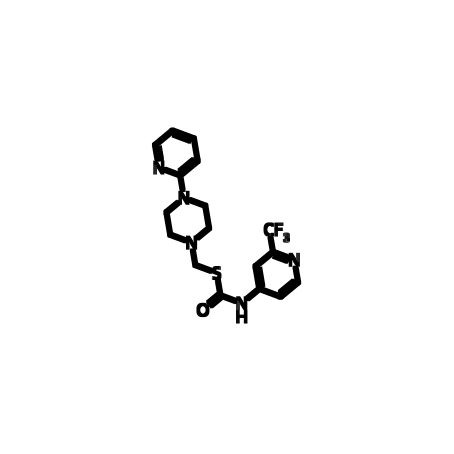 O=C(Nc1ccnc(C(F)(F)F)c1)SCN1CCN(c2ccccn2)CC1